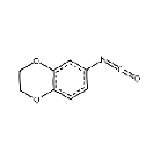 O=C=Nc1ccc2c(c1)OCCO2